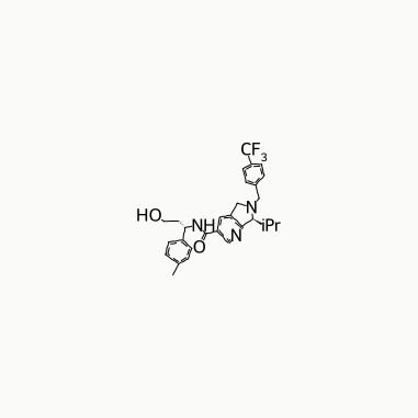 Cc1ccc([C@H](CCO)NC(=O)c2cnc3c(c2)CN(Cc2ccc(C(F)(F)F)cc2)[C@H]3C(C)C)cc1